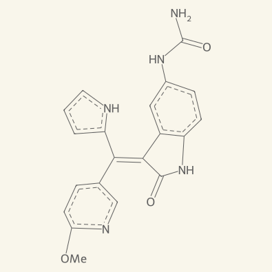 COc1ccc(/C(=C2\C(=O)Nc3ccc(NC(N)=O)cc32)c2ccc[nH]2)cn1